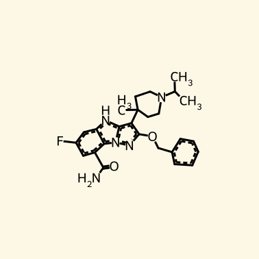 CC(C)N1CCC(C)(c2c(OCc3ccccc3)nn3c2[nH]c2cc(F)cc(C(N)=O)c23)CC1